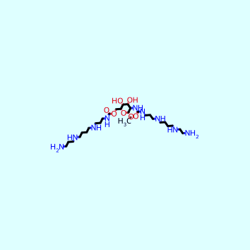 COC1OC(COC(=O)NCCCNCCCCNCCCN)C(O)C(O)C1NC(=O)NCCCNCCCCNCCN